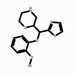 CCOc1ccccc1OC(c1nccs1)C1CNCCO1